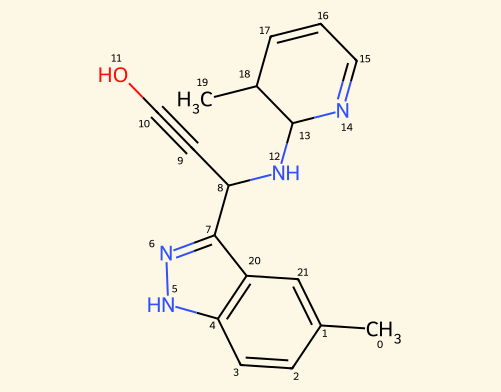 Cc1ccc2[nH]nc(C(C#CO)NC3N=CC=CC3C)c2c1